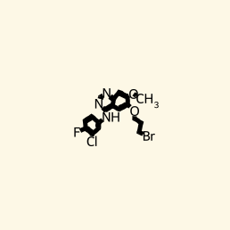 COc1cc2ncnc(Nc3ccc(F)c(Cl)c3)c2cc1OCCCBr